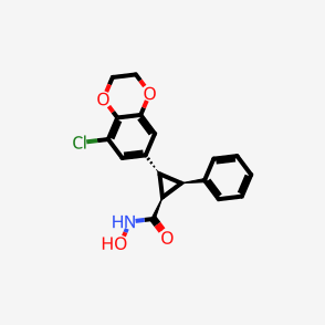 O=C(NO)[C@@H]1[C@H](c2ccccc2)[C@H]1c1cc(Cl)c2c(c1)OCCO2